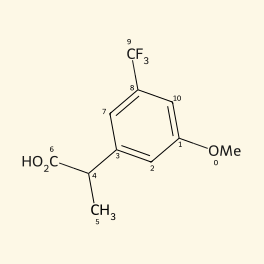 COc1cc(C(C)C(=O)O)cc(C(F)(F)F)c1